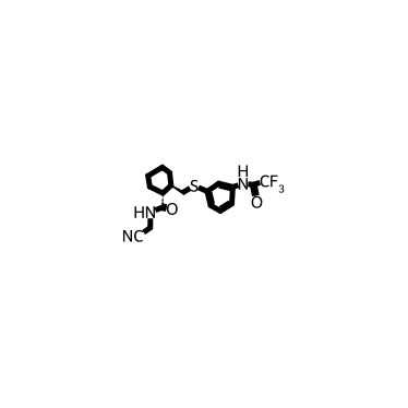 N#CCNC(=O)[C@@H]1CCCC[C@H]1CSc1cccc(NC(=O)C(F)(F)F)c1